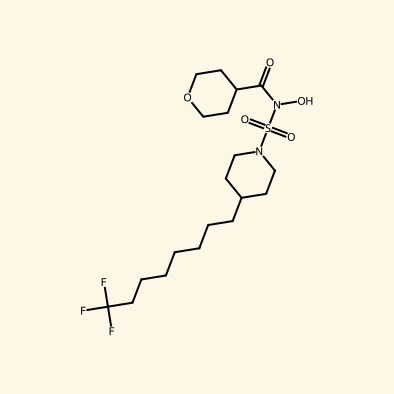 O=C(C1CCOCC1)N(O)S(=O)(=O)N1CCC(CCCCCCCC(F)(F)F)CC1